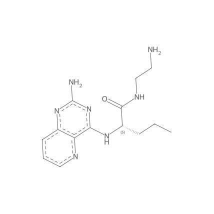 CCC[C@H](Nc1nc(N)nc2cccnc12)C(=O)NCCN